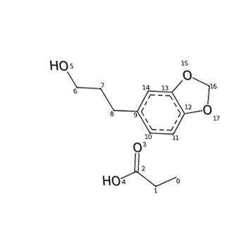 CCC(=O)O.OCCCc1ccc2c(c1)OCO2